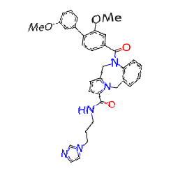 COc1cccc(-c2ccc(C(=O)N3Cc4ccc(C(=O)NCCCn5ccnc5)n4Cc4ccccc43)cc2OC)c1